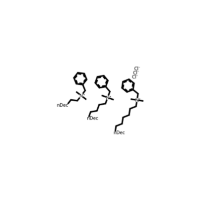 CCCCCCCCCCCCCCCC[N+](C)(C)Cc1ccccc1.CCCCCCCCCCCCCC[N+](C)(C)Cc1ccccc1.CCCCCCCCCCCC[N+](C)(C)Cc1ccccc1.[Cl-].[Cl-].[Cl-]